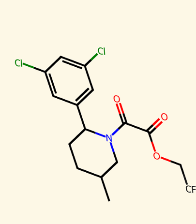 CC1CCC(c2cc(Cl)cc(Cl)c2)N(C(=O)C(=O)OCC(F)(F)F)C1